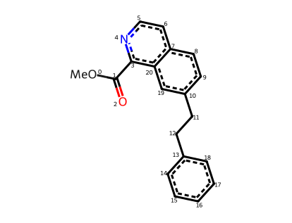 COC(=O)c1nccc2ccc(CCc3ccccc3)cc12